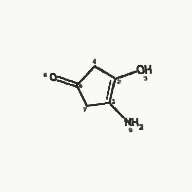 NC1=C(O)CC(=O)C1